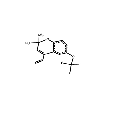 CC1(C)C=C(C=O)c2cc(OC(F)(F)F)ccc2O1